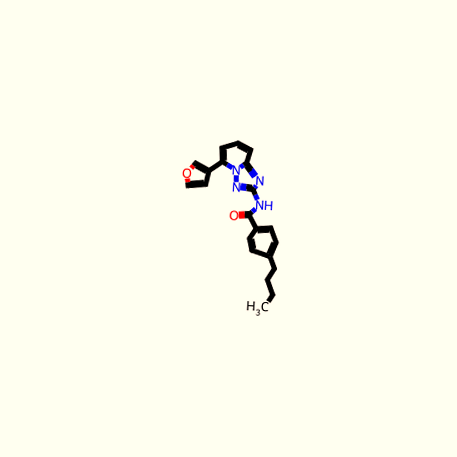 CCCCc1ccc(C(=O)Nc2nc3cccc(-c4ccoc4)n3n2)cc1